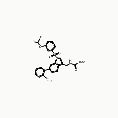 COC(=O)NCc1cn(S(=O)(=O)c2cccc(OC(F)F)c2)c2cc(-c3cccnc3C(F)(F)F)ccc12